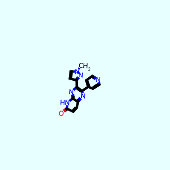 Cn1ccc(-c2nc3[nH]c(=O)ccc3nc2-c2ccncc2)n1